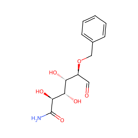 NC(=O)[C@@H](O)[C@@H](O)[C@H](O)[C@H](C=O)OCc1ccccc1